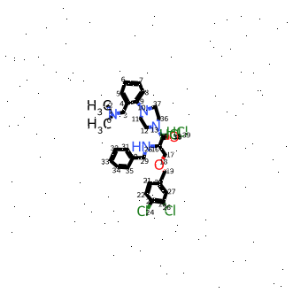 CN(C)Cc1ccccc1N1CCN(C(=O)C(COCc2ccc(Cl)c(Cl)c2)NCc2ccccc2)CC1.Cl.Cl